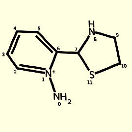 N[n+]1ccccc1C1NCCS1